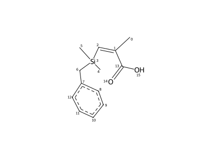 CC(=C[Si](C)(C)Cc1ccccc1)C(=O)O